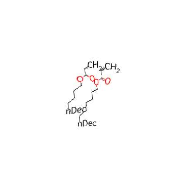 C=CC(=O)OCCCCCCCCCCCCCC.C=CC(=O)OCCCCCCCCCCCCCCCC